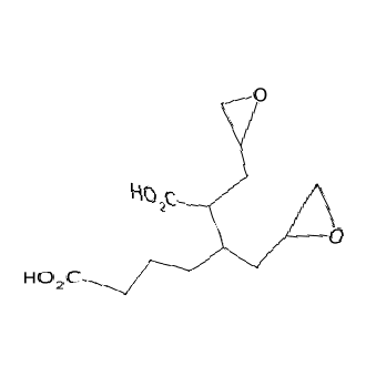 O=C(O)CCCC(CC1CO1)C(CC1CO1)C(=O)O